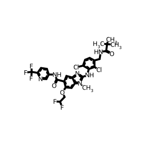 Cn1c(Nc2c(Cl)ccc(CNC(=O)C(C)(C)C)c2Cl)nc2cc(C(=O)Nc3ccc(C(F)(F)F)nc3)c(OCC(F)F)cc21